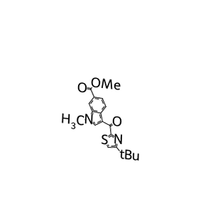 COC(=O)c1ccc2c(C(=O)c3nc(C(C)(C)C)cs3)cn(C)c2c1